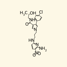 C[C@H](O)CNC(=O)c1cn(CCCNc2ccc([N+](=O)[O-])c(N)n2)cc1-c1ccc(Cl)cc1